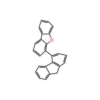 c1ccc2c(c1)Cc1cccc(-c3cccc4c3oc3ccccc34)c1-2